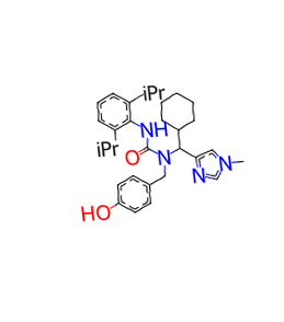 CC(C)c1cccc(C(C)C)c1NC(=O)N(Cc1ccc(O)cc1)C(c1cn(C)cn1)C1CCCCC1